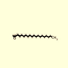 CCCCCCCCCCCCCCCCC=CC1=CO1